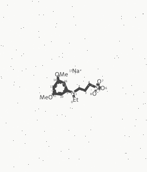 CCN(CCCS(=O)(=O)[O-])c1cc(OC)cc(OC)c1.[Na+]